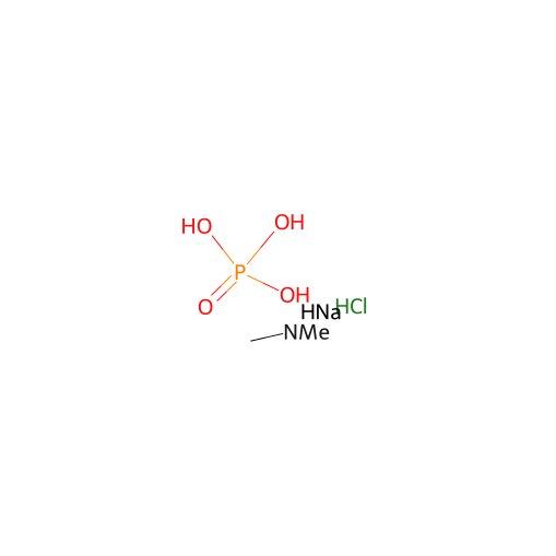 CNC.Cl.O=P(O)(O)O.[NaH]